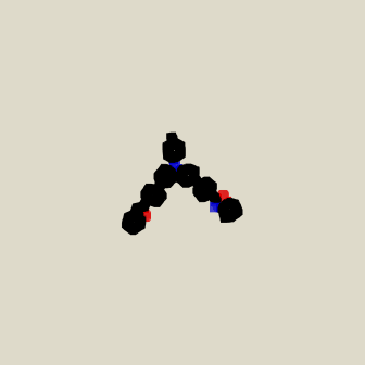 Cc1ccc(-n2c3ccc(-c4ccc(-c5cc6ccccc6o5)cc4)cc3c3cc(-c4ccc(-c5nc6ccccc6o5)cc4)ccc32)cc1